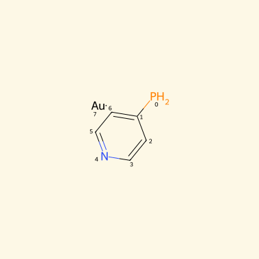 Pc1ccncc1.[Au]